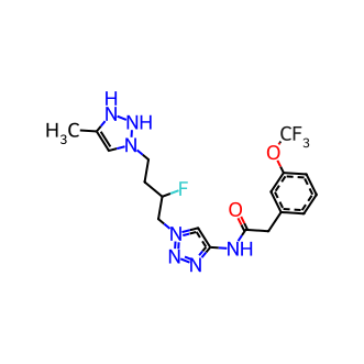 CC1=CN(CCC(F)Cn2cc(NC(=O)Cc3cccc(OC(F)(F)F)c3)nn2)NN1